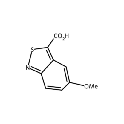 COc1ccc2nsc(C(=O)O)c2c1